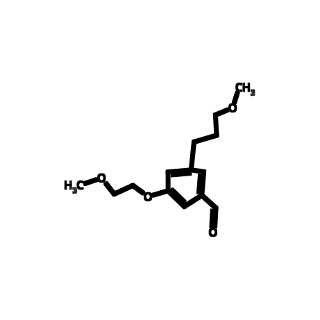 COCCCc1cc(C=O)cc(OCCOC)c1